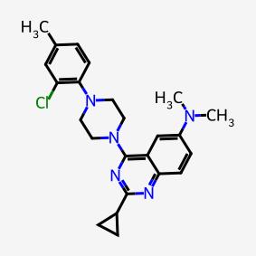 Cc1ccc(N2CCN(c3nc(C4CC4)nc4ccc(N(C)C)cc34)CC2)c(Cl)c1